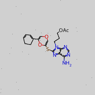 CC(=O)OCCCn1c(SC2=COC=C(C3=CC=CCC3)O2)nc2c(N)ncnc21